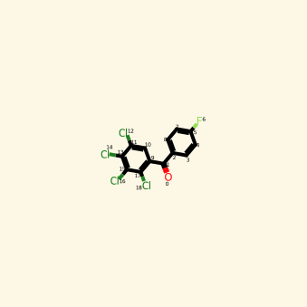 O=C(c1ccc(F)cc1)c1cc(Cl)c(Cl)c(Cl)c1Cl